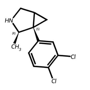 C[C@H]1NCC2C[C@@]21c1ccc(Cl)c(Cl)c1